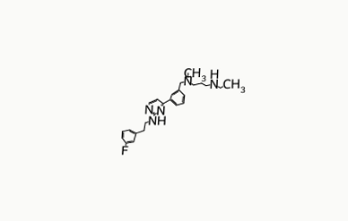 CCNCCCN(C)Cc1cccc(-c2ccnc(NCCc3cccc(F)c3)n2)c1